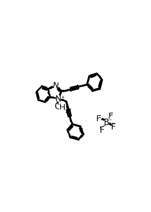 C[N+]1(CC#Cc2ccccc2)C(C#Cc2ccccc2)=Nc2ccccc21.F[B-](F)(F)F